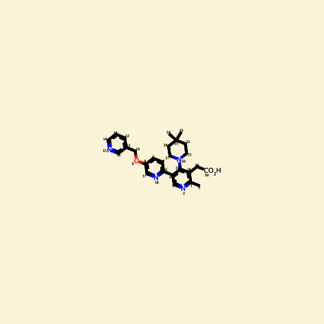 Cc1ncc(-c2ccc(OCc3cccnc3)cn2)c(N2CCC(C)(C)CC2)c1CC(=O)O